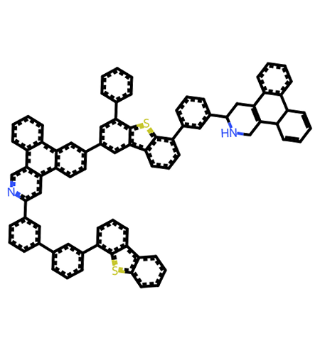 C1=CC2C3=C(CC(c4cccc(-c5cccc6c5sc5c(-c7ccccc7)cc(-c7ccc8c(c7)c7ccccc7c7cnc(-c9cccc(-c%10cccc(-c%11cccc%12c%11sc%11ccccc%11%12)c%10)c9)cc87)cc56)c4)NC3)c3ccccc3C2C=C1